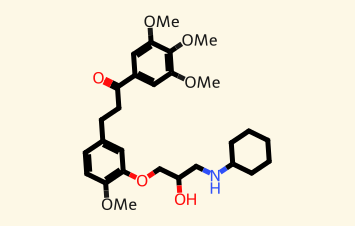 COc1ccc(CCC(=O)c2cc(OC)c(OC)c(OC)c2)cc1OCC(O)CNC1CCCCC1